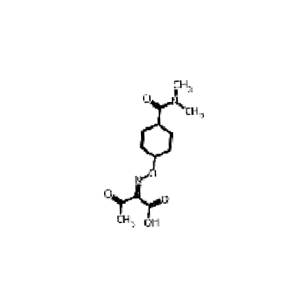 CC(=O)/C(=N/OC1CCC(C(=O)N(C)C)CC1)C(=O)O